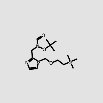 CC(C)(C)ON(C=O)Cc1nccn1COCC[Si](C)(C)C